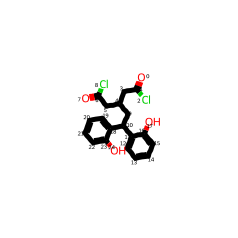 O=C(Cl)CC(CC(=O)Cl)CC(c1ccccc1O)c1ccccc1O